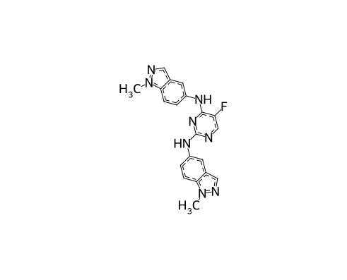 Cn1ncc2cc(Nc3ncc(F)c(Nc4ccc5c(cnn5C)c4)n3)ccc21